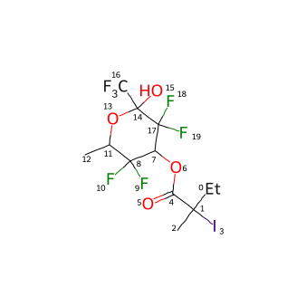 CCC(C)(I)C(=O)OC1C(F)(F)C(C)OC(O)(C(F)(F)F)C1(F)F